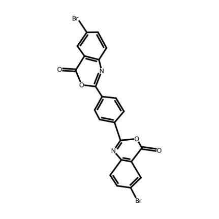 O=c1oc(-c2ccc(-c3nc4ccc(Br)cc4c(=O)o3)cc2)nc2ccc(Br)cc12